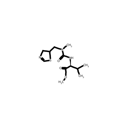 COC(=O)[C@@H](NC(=O)N(C)CC1CN=CS1)C(C)C